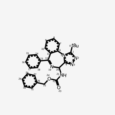 CC(C)(C)c1nnc2n1-c1ccccc1C(c1ccccc1)=NC2NC(=O)OCc1ccccc1